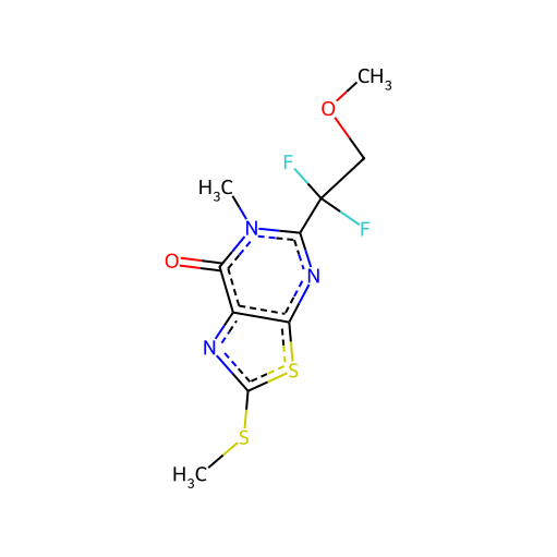 COCC(F)(F)c1nc2sc(SC)nc2c(=O)n1C